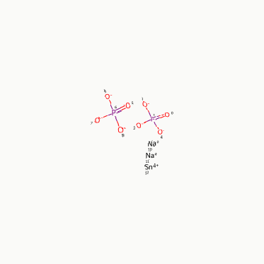 O=P([O-])([O-])[O-].O=P([O-])([O-])[O-].[Na+].[Na+].[Sn+4]